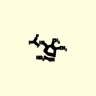 Cc1cccc(S)c1C.FC(F)F.O=S(=O)(O)O